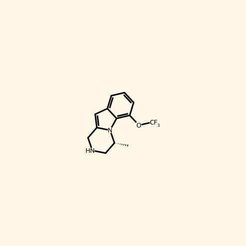 C[C@@H]1CNCc2cc3cccc(OC(F)(F)F)c3n21